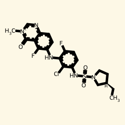 CC[C@@H]1CCN(S(=O)(=O)Nc2ccc(F)c(Nc3ccc4ncn(C)c(=O)c4c3F)c2Cl)C1